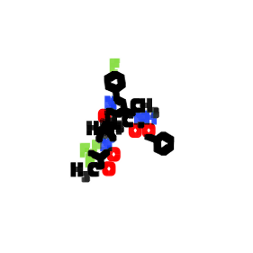 CC(=O)C(C(=O)N1C[C@@H]2[C@H](C1)[C@H]2Oc1cc(C(C)(C)NC(=O)OCc2ccccc2)cc(-c2ccc(F)cc2)n1)C(F)(F)F